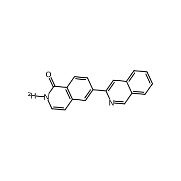 [2H]n1ccc2cc(-c3cc4ccccc4cn3)ccc2c1=O